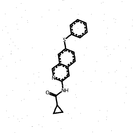 O=C(Nc1cc2ccc(Sc3ccccc3)cc2cn1)C1CC1